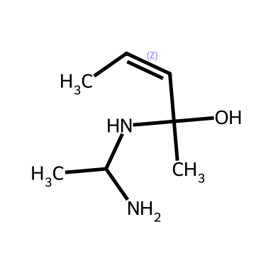 C/C=C\C(C)(O)NC(C)N